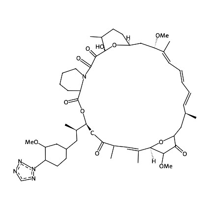 COC1CC(C[C@@H](C)[C@@H]2CC(=O)C(C)/C=C(\C)[C@H]3OC(C[C@H](C)/C=C/C=C/C=C(\C)[C@@H](OC)C[C@@H]4CCC(C)C(O)(O4)C(=O)C(=O)N4CCCCC4C(=O)O2)C(=O)C3OC)CCC1n1ncnn1